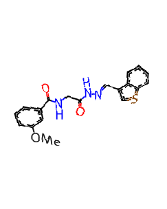 COc1cccc(C(=O)NCC(=O)N/N=C/c2csc3ccccc23)c1